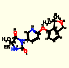 CC[C@@]1(C)NC(=O)N(c2ccc(Oc3cccc4c3C(C)(C)OC4)nc2)C1=O